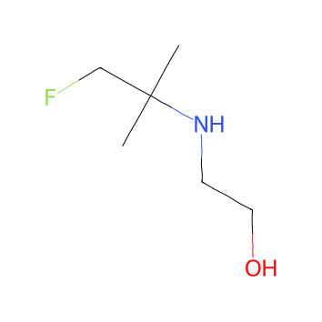 CC(C)(CF)NCCO